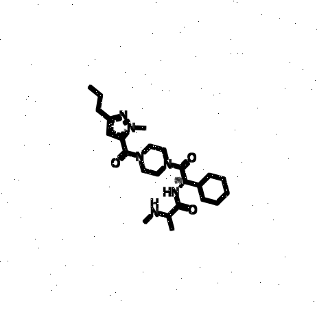 CCCc1cc(C(=O)N2CCN(C(=O)[C@@H](NC(=O)C(C)NC)C3CCCCC3)CC2)n(C)n1